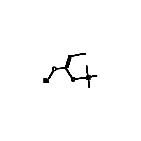 CC=C(OCC)O[Si](C)(C)C